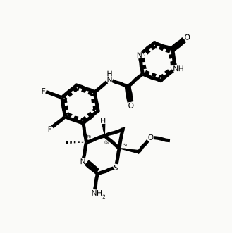 COC[C@]12C[C@H]1[C@](C)(c1cc(NC(=O)c3c[nH]c(=O)cn3)cc(F)c1F)N=C(N)S2